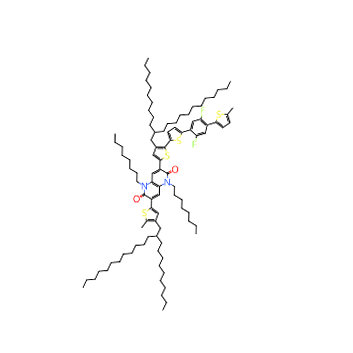 CCCCCCCCCCCCC(CCCCCCCCCC)Cc1cc(-c2cc3c(cc(-c4cc(CC(CCCCCCCCCC)CCCCCCCCCCCC)c(-c5ccc(-c6cc(F)c(-c7ccc(C)s7)cc6F)s5)s4)c(=O)n3CCCCCCCC)n(CCCCCCCC)c2=O)sc1C